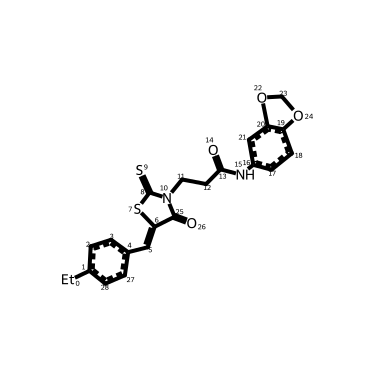 CCc1ccc(/C=C2\SC(=S)N(CCC(=O)Nc3ccc4c(c3)OCO4)C2=O)cc1